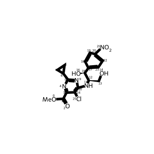 COC(=O)c1nc(C2CC2)nc(N[C@H](CO)[C@H](O)c2ccc([N+](=O)[O-])cc2)c1Cl